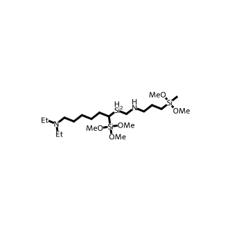 CCN(CC)CCCCCC([SiH2]CNCCC[Si](C)(OC)OC)[Si](OC)(OC)OC